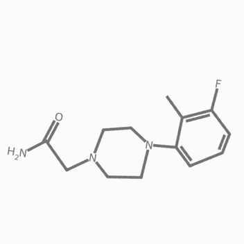 Cc1c(F)cccc1N1CCN(CC(N)=O)CC1